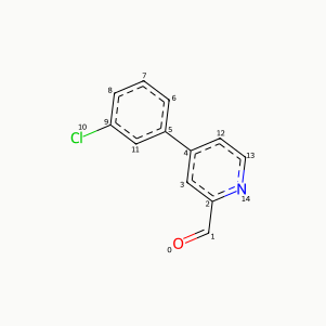 O=Cc1cc(-c2cccc(Cl)c2)ccn1